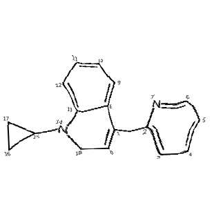 C1=C(c2ccccn2)c2ccccc2N(C2CC2)C1